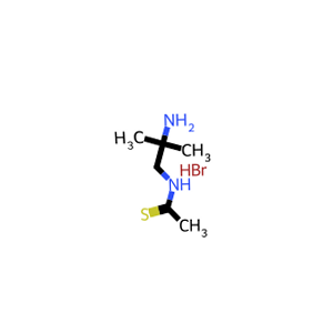 Br.CC(=S)NCC(C)(C)N